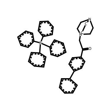 O=C(C[N+]12CCN(CC1)CC2)c1ccc(-c2ccccc2)cc1.c1ccc([B-](c2ccccc2)(c2ccccc2)c2ccccc2)cc1